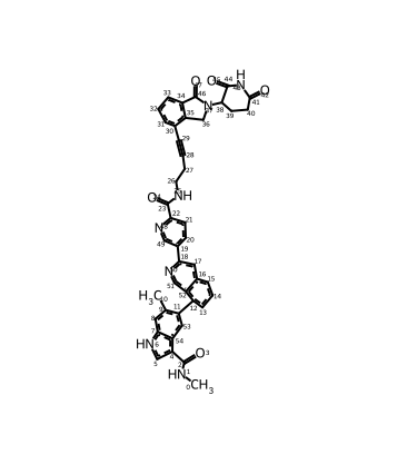 CNC(=O)c1c[nH]c2cc(C)c(-c3cccc4cc(-c5ccc(C(=O)NCCC#Cc6cccc7c6CN(C6CCC(=O)NC6=O)C7=O)nc5)ncc34)cc12